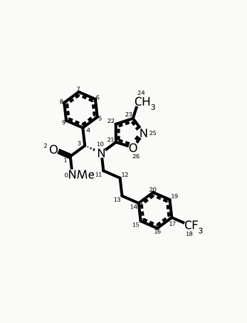 CNC(=O)[C@H](c1ccccc1)N(CCCc1ccc(C(F)(F)F)cc1)c1cc(C)no1